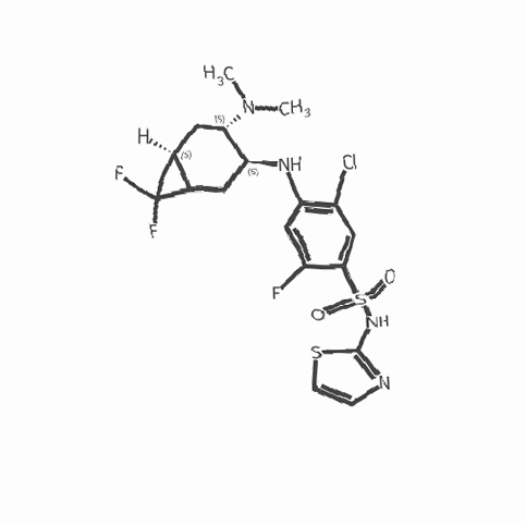 CN(C)[C@H]1C[C@H]2C(C[C@@H]1Nc1cc(F)c(S(=O)(=O)Nc3nccs3)cc1Cl)C2(F)F